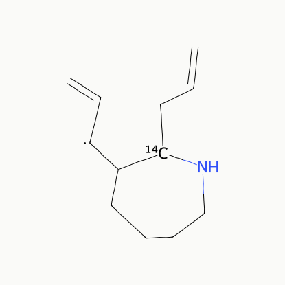 C=C[CH]C1CCCCN[14CH]1CC=C